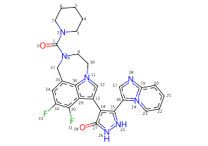 O=C(N1CCCCC1)N1CCn2cc(-c3c(-c4cnc5ccccn45)[nH][nH]c3=O)c3c(F)c(F)cc(c32)C1